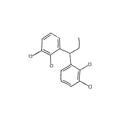 CCC(c1cccc(Cl)c1Cl)c1cccc(Cl)c1Cl